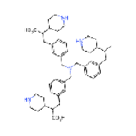 CC(Cc1cccc(CN(Cc2cccc(CC(C(=O)O)C3CCNCC3)c2)Cc2cccc(CC(C(=O)O)C3CCNCC3)c2)c1)C1CCNCC1